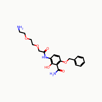 NCCOCCOCC(=O)Nc1ccc(OCc2ccccc2)c(C(N)=O)c1O